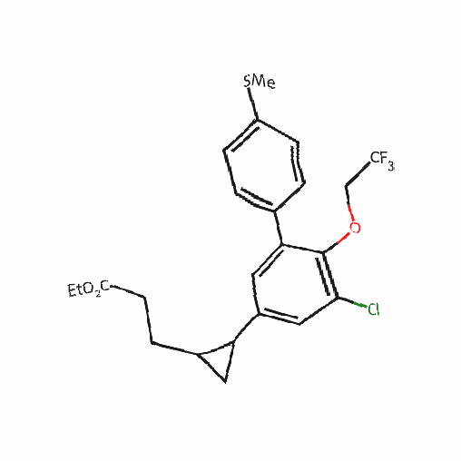 CCOC(=O)CCC1CC1c1cc(Cl)c(OCC(F)(F)F)c(-c2ccc(SC)cc2)c1